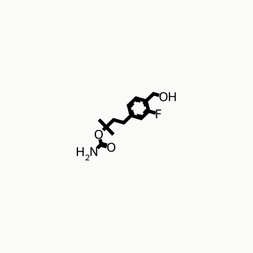 CC(C)(CCc1ccc(CO)c(F)c1)OC(N)=O